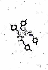 O=C(/C=C/c1ccc(I)cc1)NS(=O)(=O)/C=C/c1ccc(I)cc1.O=S(=O)(/C=C\c1ccc(I)cc1)NS(=O)(=O)/C=C/c1ccc(I)cc1